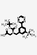 CC(C)(C)OC(=O)N(CC(=O)O)Cc1cc(-c2nncnn2)c[c]([Sn]([CH3])([CH3])[CH3])c1